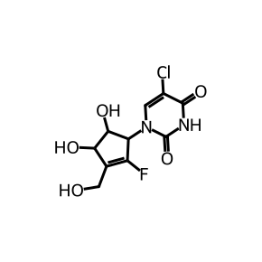 O=c1[nH]c(=O)n(C2C(F)=C(CO)C(O)C2O)cc1Cl